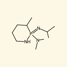 CC(C)N=P1(N(C)C)NCCCC1C